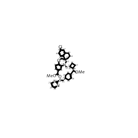 COC(=O)c1ccc2c(c1)N(C[C@@H]1CC[C@H]1C(OC)C1=CC[C@@H](CSc3ncccn3)CC1)C[C@@]1(CCCc3cc(Cl)ccc31)CO2